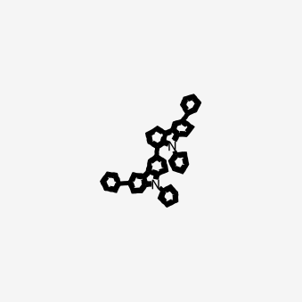 c1ccc(-c2ccc3c(c2)c2cc(-c4cccc5c6cc(-c7ccccc7)ccc6n(-c6ccccc6)c45)ccc2n3-c2ccccc2)cc1